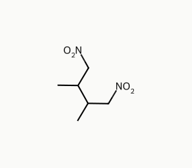 CC(C[N+](=O)[O-])C(C)C[N+](=O)[O-]